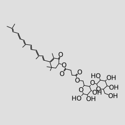 CC(C)=C/C=C/C=C(C)/C=C/C=C(C)/C=C/C1=C(C)C(=O)C(OC(=O)CCC(=O)OCC2OC(O)C(O)C(O)C2OC2OC(CO)C(O)C(O)C2O)CC1(C)C